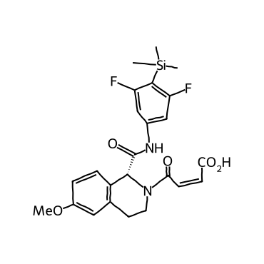 COc1ccc2c(c1)CCN(C(=O)/C=C\C(=O)O)[C@H]2C(=O)Nc1cc(F)c([Si](C)(C)C)c(F)c1